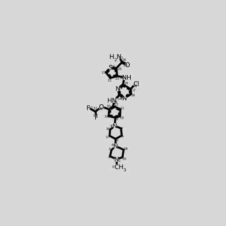 CN1CCN(C2CCN(c3ccc(Nc4ncc(Cl)c(Nc5ccsc5C(N)=O)n4)c(OC(F)F)c3)CC2)CC1